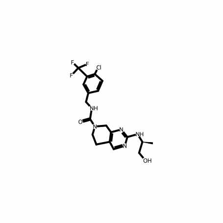 C[C@@H](CO)Nc1ncc2c(n1)CN(C(=O)NCc1ccc(Cl)c(C(F)(F)F)c1)CC2